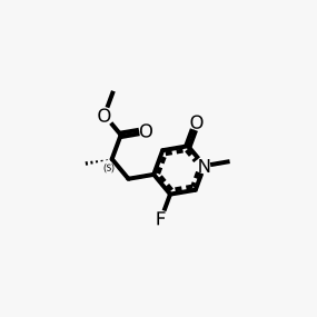 COC(=O)[C@@H](C)Cc1cc(=O)n(C)cc1F